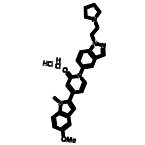 COc1ccc2c(c1)cc(-c1ccn(-c3ccc4c(cnn4CCN4CCCC4)c3)c(=O)c1)n2C.Cl.Cl